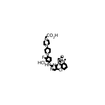 CN(c1ccccc1Nc1nc(Nc2ccc(N3CCC(N4CCN(CC(=O)O)CC4)CC3)c(F)c2)ncc1Cl)S(C)(=O)=O.Cl